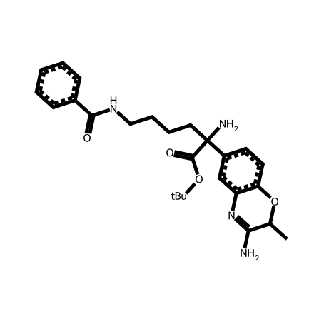 CC1Oc2ccc(C(N)(CCCCNC(=O)c3ccccc3)C(=O)OC(C)(C)C)cc2N=C1N